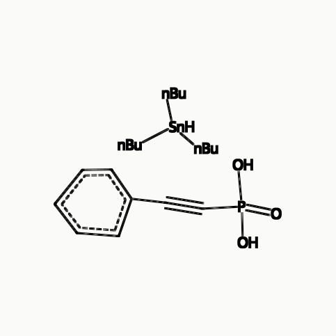 CCC[CH2][SnH]([CH2]CCC)[CH2]CCC.O=P(O)(O)C#Cc1ccccc1